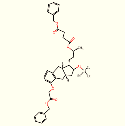 CC[Si](CC)(CC)OC1C[C@@H]2Cc3c(cccc3OCC(=O)OCc3ccccc3)C[C@@H]2[C@H]1CC[C@H](C)OC(=O)CCC(=O)OCc1ccccc1